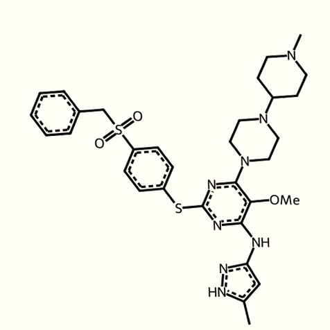 COc1c(Nc2cc(C)[nH]n2)nc(Sc2ccc(S(=O)(=O)Cc3ccccc3)cc2)nc1N1CCN(C2CCN(C)CC2)CC1